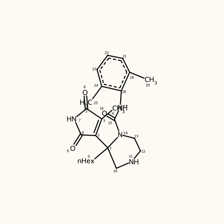 CCCCCCC1(C2=C(C)C(=O)NC2=O)CNCCN1C(=O)Nc1c(C)cccc1C